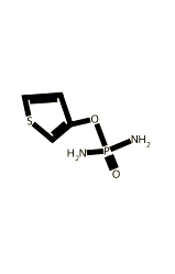 NP(N)(=O)Oc1ccsc1